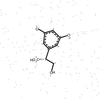 O=C(O)[C@@H](CO)c1cc(Cl)cc(Cl)c1